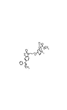 CON=C(c1ccccc1)c1ccc2c(c1)sc(=O)n2CCCOc1cccc(OC(C)(C)C(=O)OC)c1